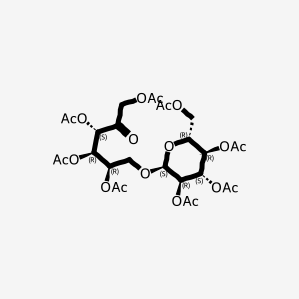 CC(=O)OCC(=O)[C@@H](OC(C)=O)[C@H](OC(C)=O)[C@@H](CO[C@H]1O[C@H](COC(C)=O)[C@@H](OC(C)=O)[C@H](OC(C)=O)[C@H]1OC(C)=O)OC(C)=O